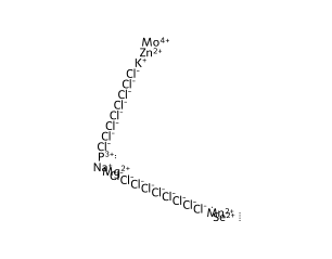 [Cl-].[Cl-].[Cl-].[Cl-].[Cl-].[Cl-].[Cl-].[Cl-].[Cl-].[Cl-].[Cl-].[Cl-].[Cl-].[Cl-].[Cl-].[Cl-].[Cl-].[K+].[Mg+2].[Mn+2].[Mo+4].[Na+].[P+3].[Se+2].[Zn+2]